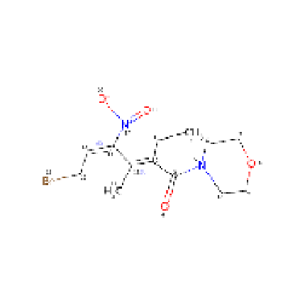 CC/C(C(=O)N1CCOCC1)=C(C)\C(=C/CBr)[N+](=O)[O-]